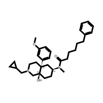 COc1cccc([C@@]23CCN(CC4CC4)C[C@@]2(O)CC[C@H](N(C)C(=O)CCCCCc2ccccc2)C3)c1